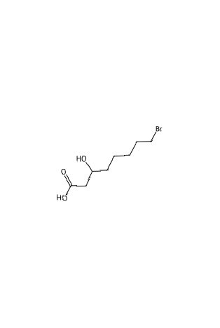 O=C(O)CC(O)CCCCCBr